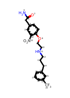 NC(=O)Cc1ccc(OCCNCCCc2cccc(C(F)(F)F)c2)c([N+](=O)[O-])c1